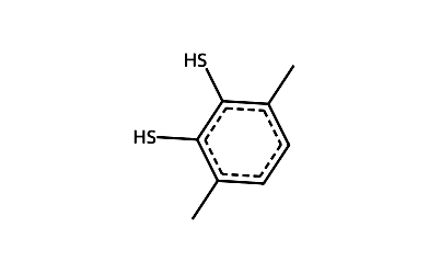 Cc1ccc(C)c(S)c1S